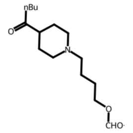 CCCCC(=O)C1CCN(CCCCO[C]=O)CC1